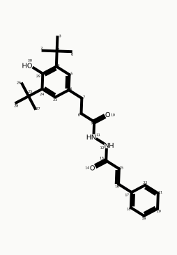 CC(C)(C)c1cc(CCC(=O)NNC(=O)/C=C/c2ccccc2)cc(C(C)(C)C)c1O